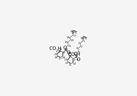 CC(C)CCCCCOC(=O)c1ccccc1C(=O)O.CC(C)CCCCCOC(=O)c1ccccc1C(=O)O